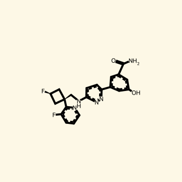 NC(=O)c1cc(O)cc(-c2ccc(NC[C@]3(c4ncccc4F)C[C@H](F)C3)nn2)c1